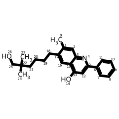 Cc1cc2nc(-c3ccccc3)cc(O)c2cc1CCCCC(C)(C)CO